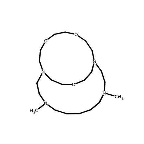 CN1CCCCCN(C)CCN2CCOCCOCCN(CCOCC2)CC1